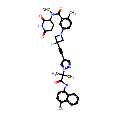 Cc1ccc(N2CC(F)(C#Cc3cnn(C(C)(C)C(=O)Nc4ccc(C#N)c5ccccc45)c3)C2)cc1C(=O)N(C=O)C1CCC(=O)NC1=O